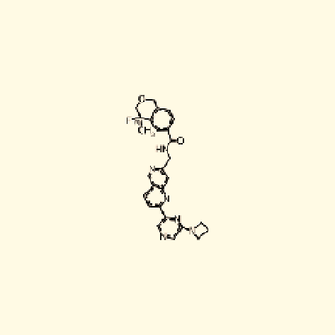 C[C@@]1(F)COCc2ccc(C(=O)NCc3cc4nc(-c5cncc(N6CCC6)n5)ccc4cn3)cc21